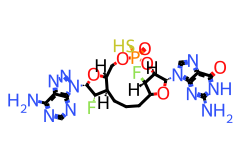 Nc1nc2c(ncn2[C@@H]2OC3CCC[C@H]4[C@H](F)[C@H](n5nnc6c(N)ncnc65)O[C@@H]4COP(=O)(S)O[C@@H]2[C@H]3F)c(=O)[nH]1